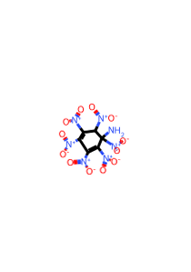 NC1([N+](=O)[O-])C([N+](=O)[O-])=C([N+](=O)[O-])C([N+](=O)[O-])=C([N+](=O)[O-])C1[N+](=O)[O-]